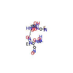 CCN(c1cc(-c2ccc(CN3CCOCC3)cc2)cc(C(=O)NCc2c(C)cc(C)[nH]c2=O)c1C)C1CCN(C(=O)CCCCCCC(=O)N[C@H](C(=O)N2C[C@H](O)C[C@H]2C(=O)NCc2ccc(-c3scnc3C)cc2)C(C)(C)C)CC1